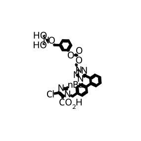 CCCCc1nc(Cl)c(C(=O)O)n1Cc1ccc(-c2ccccc2-c2nnn(COC(=O)Oc3cccc(CON(O)O)c3)n2)cc1